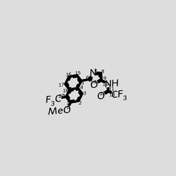 COc1ccc2c(-c3ncc(NC(=O)C(F)(F)F)o3)cccc2c1C(F)(F)F